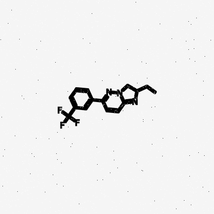 CCC1CN2N=C(c3cccc(C(F)(F)F)c3)C=CC2=N1